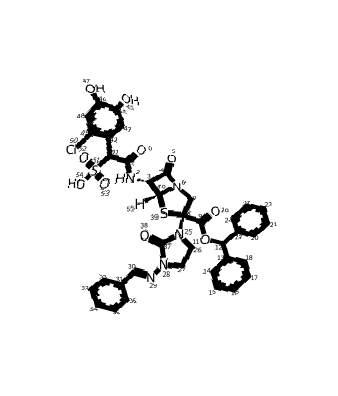 O=C(N[C@@H]1C(=O)N2C[C@@](C(=O)OC(c3ccccc3)c3ccccc3)(N3CCN(N=Cc4ccccc4)C3=O)S[C@H]12)C(c1cc(O)c(O)cc1Cl)S(=O)(=O)O